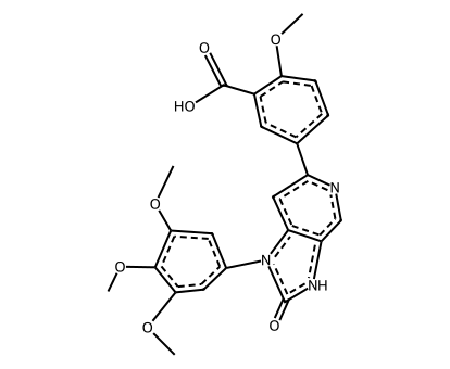 COc1ccc(-c2cc3c(cn2)[nH]c(=O)n3-c2cc(OC)c(OC)c(OC)c2)cc1C(=O)O